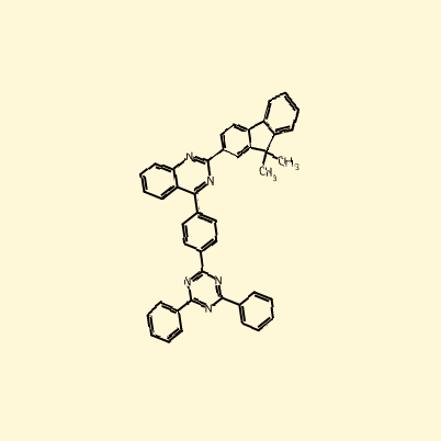 CC1(C)c2ccccc2-c2ccc(-c3nc(-c4ccc(-c5nc(-c6ccccc6)nc(-c6ccccc6)n5)cc4)c4ccccc4n3)cc21